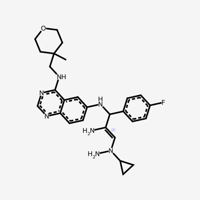 CC1(CNc2ncnc3ccc(NC(/C(N)=C/N(N)C4CC4)c4ccc(F)cc4)cc23)CCOCC1